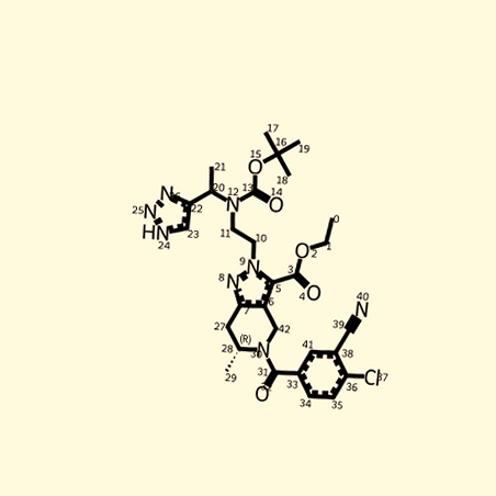 CCOC(=O)c1c2c(nn1CCN(C(=O)OC(C)(C)C)C(C)c1c[nH]nn1)C[C@@H](C)N(C(=O)c1ccc(Cl)c(C#N)c1)C2